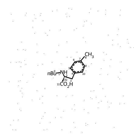 CCCCN[C@@H](Cc1ccc(C)cc1)C(=O)O